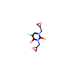 O=c1c(F)cn(CC2CO2)c(=O)n1CC1CO1